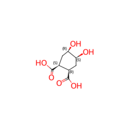 O=C(O)[C@H]1C[C@@H](O)[C@@H](O)C[C@H]1C(=O)O